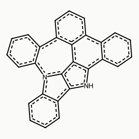 c1ccc2c(c1)c1cccc3c4ccccc4n4c5ccccc5c5[nH]c2c(c13)c54